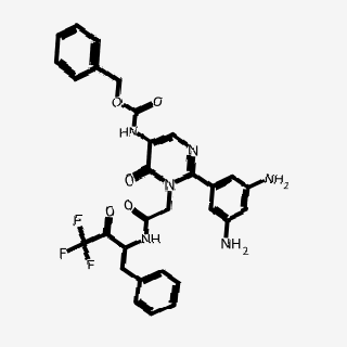 Nc1cc(N)cc(-c2ncc(NC(=O)OCc3ccccc3)c(=O)n2CC(=O)NC(Cc2ccccc2)C(=O)C(F)(F)F)c1